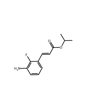 CC(C)OC(=O)/C=C/c1cccc(N)c1F